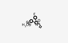 CS(=O)(=O)c1cccc(-c2cnn(CC3CCC3)c(=O)c2-c2ccc(F)cc2)c1